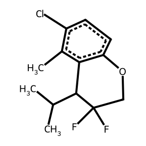 Cc1c(Cl)ccc2c1C(C(C)C)C(F)(F)CO2